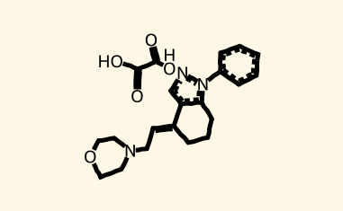 C(/CN1CCOCC1)=C1/CCCc2c1cnn2-c1ccccc1.O=C(O)C(=O)O